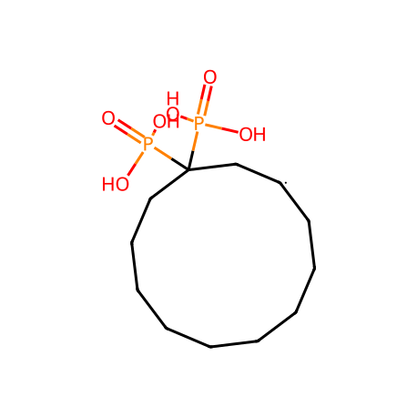 O=P(O)(O)C1(P(=O)(O)O)C[CH]CCCCCCCCC1